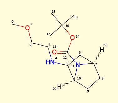 COCCNC1C[C@H]2CC[C@@H]1N2C(=O)OC(C)(C)C